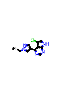 CC(C)Cn1cc(-c2ncnc3[nH]cc(Cl)c23)cn1